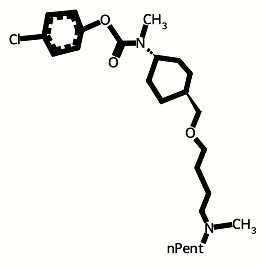 CCCCCN(C)CCCCOC[C@H]1CC[C@H](N(C)C(=O)Oc2ccc(Cl)cc2)CC1